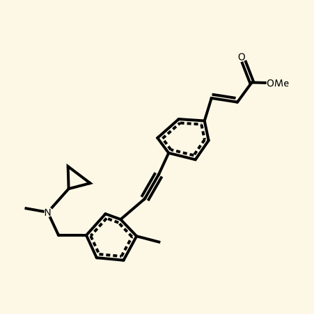 COC(=O)/C=C/c1ccc(C#Cc2cc(CN(C)C3CC3)ccc2C)cc1